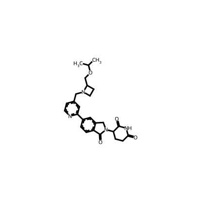 CC(C)OCC1CCN1Cc1ccnc(-c2ccc3c(c2)CN(C2CCC(=O)NC2=O)C3=O)c1